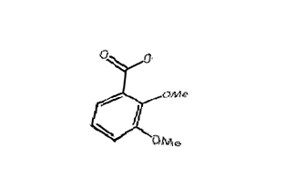 COc1cccc(C([O])=O)c1OC